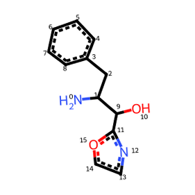 NC(Cc1ccccc1)C(O)c1ncco1